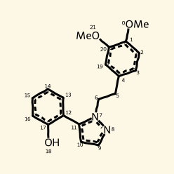 COc1ccc(CCn2nccc2-c2ccccc2O)cc1OC